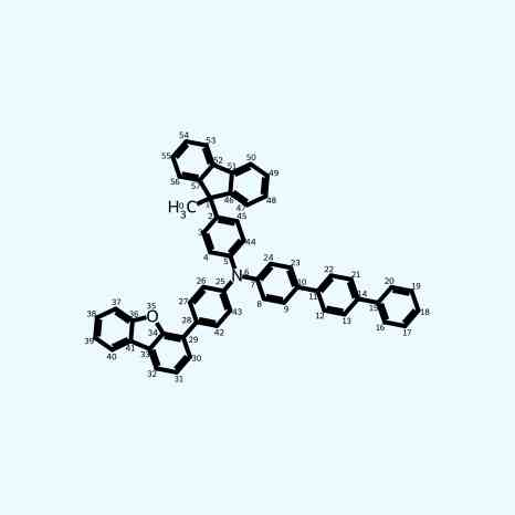 CC1(c2ccc(N(c3ccc(-c4ccc(-c5ccccc5)cc4)cc3)c3ccc(-c4cccc5c4oc4ccccc45)cc3)cc2)c2ccccc2-c2ccccc21